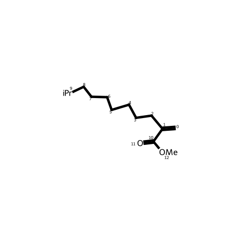 C=C(CCCCCCCC(C)C)C(=O)OC